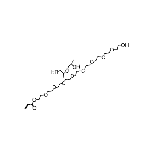 C=CC(=O)OCCOCCOCCOCCOCCOCCOCCOCCOCCO.CC(O)COC(C)CO